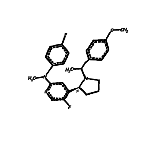 COc1ccc(C(C)N2CCC[C@H]2c2cc(N(C)c3ccc(F)cc3)ncc2F)cc1